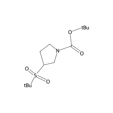 CC(C)(C)OC(=O)N1CCC(S(=O)(=O)C(C)(C)C)C1